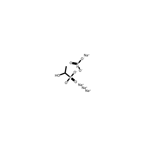 CC(O)P(=O)([O-])[O-].O=[PH]([O-])[O-].[Na+].[Na+].[Na+].[Na+]